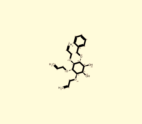 C=CCO[C@@H]1[C@@H](OCC=C)[C@H](OCc2ccccc2)[C@@H](O)[C@@H](O)[C@H]1OCC=C